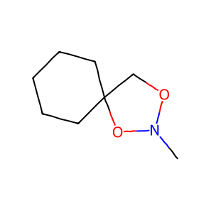 CN1OCC2(CCCCC2)O1